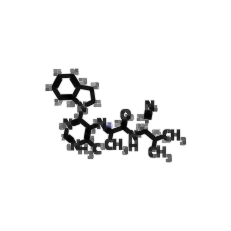 C/C(=N\c1c(C)ncnc1N1CCc2ccccc21)C(=O)N[C@H](C#N)C(C)C